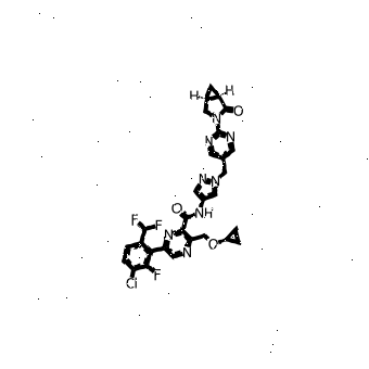 O=C(Nc1cnn(Cc2cnc(N3C[C@H]4C[C@H]4C3=O)nc2)c1)c1nc(-c2c(C(F)F)ccc(Cl)c2F)cnc1COC1CC1